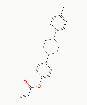 C=CC(=O)Oc1ccc(C2CCC(c3ccc(C)cc3)CC2)cc1